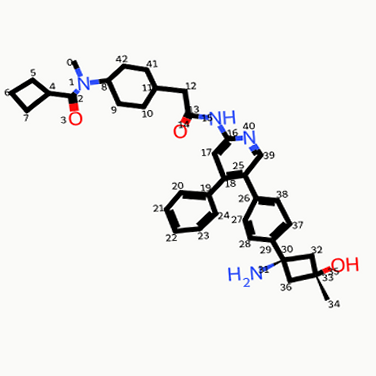 CN(C(=O)C1CCC1)C1CCC(CC(=O)Nc2cc(-c3ccccc3)c(-c3ccc([C@]4(N)C[C@](C)(O)C4)cc3)cn2)CC1